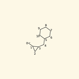 [CH2]C1CC1CC1CCCCC1